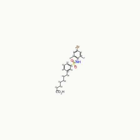 Cc1cc(Br)cc(C)c1NS(=O)(=O)c1cccc(CCCCCCC(=O)O)c1